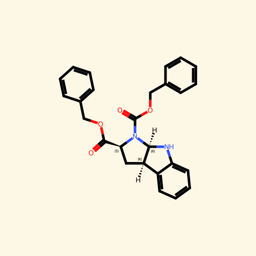 O=C(OCc1ccccc1)[C@@H]1C[C@@H]2c3ccccc3N[C@@H]2N1C(=O)OCc1ccccc1